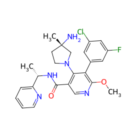 COc1ncc(C(=O)N[C@@H](C)c2ccccn2)c(N2CC[C@](C)(N)C2)c1-c1cc(F)cc(Cl)c1